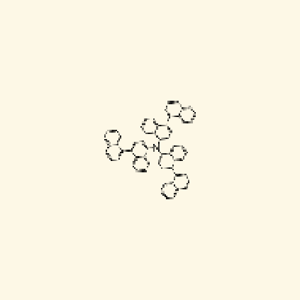 c1ccc2c(-c3ccc(N(c4ccc(-c5cccc6ccccc56)c5ccccc45)c4ccc(-c5cccc6ccccc56)c5ccccc45)c4ccccc34)cccc2c1